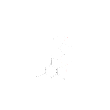 CC(C)c1cc(C(C)C)c(S(=O)(=O)OCCC(C)(C)O)c(C(C)C)c1